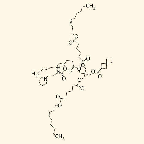 CCCCC/C=C\CCOC(=O)CCCCC(=O)OCC(COC(=O)CCCCC(=O)OCC/C=C\CCCCC)(COC(=O)CCC(CCCCCC)OC(=O)NCCN1CCCC1)COC(=O)C1CC2(CCC2)C1